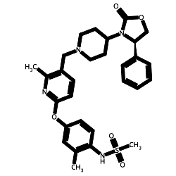 Cc1cc(Oc2ccc(CN3CCC(N4C(=O)OC[C@H]4c4ccccc4)CC3)c(C)n2)ccc1NS(C)(=O)=O